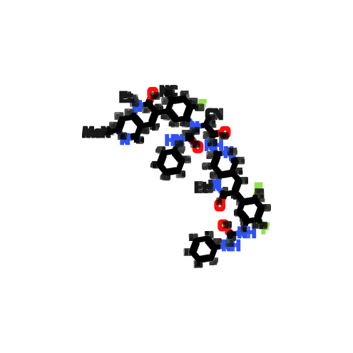 CCn1c(=O)c(-c2cc(NC(=O)Nc3ccccc3)c(F)cc2F)cc2cnc(NC(=O)C(C#N)N(C(=O)Nc3ccccc3)c3cc(-c4cc5cnc(NC)cc5n(CC)c4=O)c(C#N)cc3F)cc21